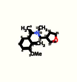 C=C1C(OC)=CC=CC1C(=C)N(C)CC1CCOC1